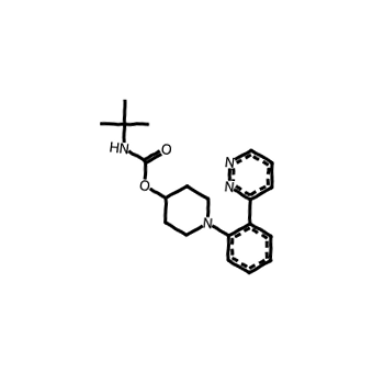 CC(C)(C)NC(=O)OC1CCN(c2ccccc2-c2cccnn2)CC1